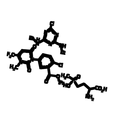 CC(C)OC(=O)c1cc(-n2c(=O)cc(C(F)(F)F)n(C)c2=O)ccc1Cl.CCNc1nc(Cl)nc(NCC)n1.CP(=O)(O)CCC(N)C(=O)O